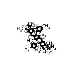 Cc1cc(C)c(-n2c3cc(C(C)(C)C)c(C(C)(C)C)cc3c(=O)c3cc4c(cc32)c(=O)c2cc(C(C)(C)C)c(C(C)(C)C)cc2n4-c2c(C)cc(C)cc2C)c(C)c1